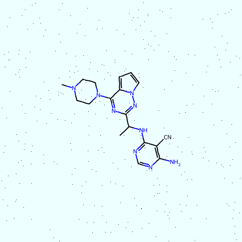 CC(Nc1ncnc(N)c1C#N)c1nc(N2CCN(C)CC2)c2cccn2n1